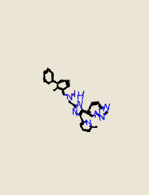 Cc1cccc(-c2nc(CN(I)Cc3cccc(-c4ccccc4)c3C)[nH]c2-c2ccc3ncnn3c2)n1